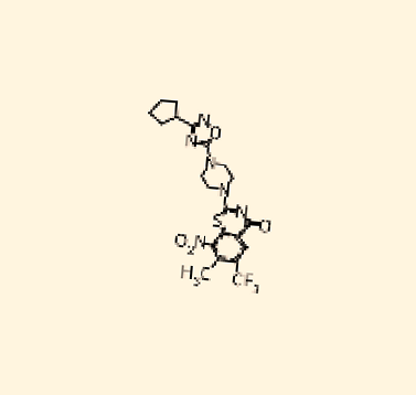 Cc1c(C(F)(F)F)cc2c(=O)nc(N3CCN(c4nc(C5CCCC5)no4)CC3)sc2c1[N+](=O)[O-]